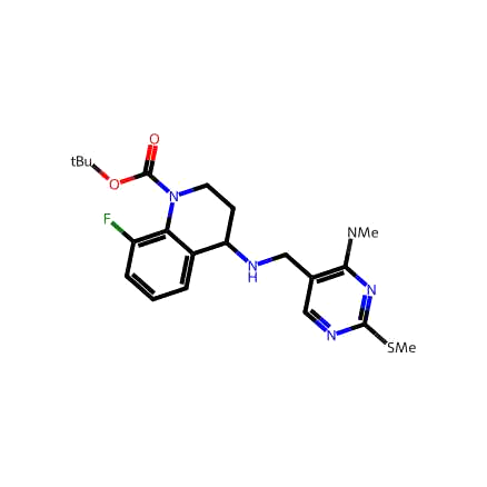 CNc1nc(SC)ncc1CNC1CCN(C(=O)OC(C)(C)C)c2c(F)cccc21